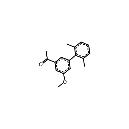 COc1cc(C(C)=O)cc(-c2c(C)cccc2C)c1